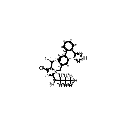 [2H]C(O)c1c(Cl)nc(C([2H])C([2H])([2H])C([2H])([2H])C([2H])([2H])[2H])n1Cc1ccc(-c2ccccc2-c2nn[nH]n2)cc1